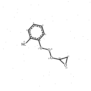 N#Cc1ccccc1OOOC1CO1